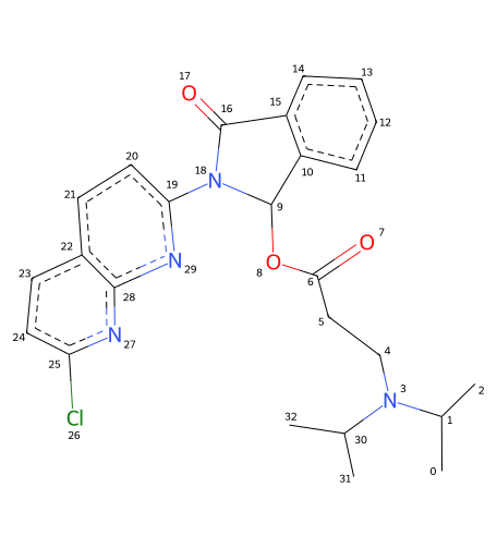 CC(C)N(CCC(=O)OC1c2ccccc2C(=O)N1c1ccc2ccc(Cl)nc2n1)C(C)C